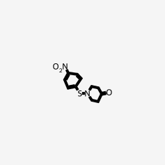 O=C1CCN(Sc2ccc([N+](=O)[O-])cc2)CC1